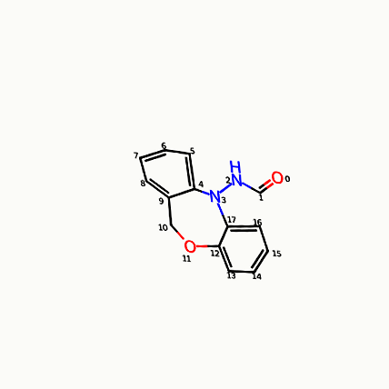 O=CNN1c2ccccc2COc2ccccc21